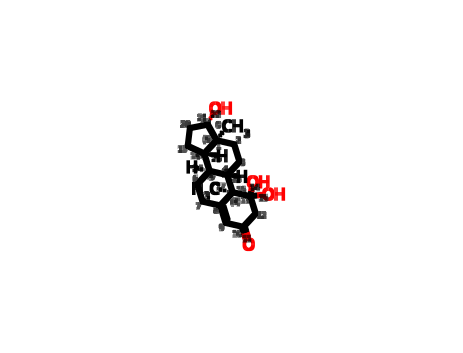 C[C@]12CC[C@H]3[C@@H](CCC4=CC(=O)CC(O)(O)[C@@]43C)[C@@H]1CC[C@@H]2O